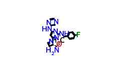 C[C@H](Nc1nc(Nc2cnccn2)cc(N2CC[C@H]2C(N)=O)n1)c1ccc(F)cc1